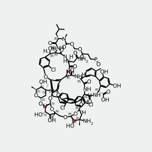 Cc1ccc2cc1-c1c(O)cc(O)cc1[C@H](C(=O)O)NC(=O)[C@H]1NC(=O)[C@@H]2NC(=O)[C@@H]2NC(=O)[C@H](CC(N)=O)NC(=O)[C@H](NC(=O)[C@@H](CC(C)C)N(C)C(=O)OCOC(=O)CCP=O)[C@H](O)c3ccc(c(Cl)c3)Oc3cc2cc2c3O[C@@H]3O[C@H](CO[C@@H]4O[C@H](C[C@](C)(N)[C@H]4O)O[C@@H]1c1ccc(c(Cl)c1)O2)[C@@H](O)[C@H](O)[C@H]3O[C@H]1C[C@](C)(NCc2ccc(-c3ccc(Cl)cc3)cc2)[C@@H](O)[C@H](C)O1